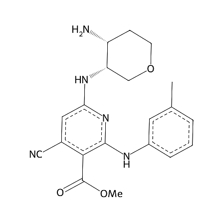 COC(=O)c1c(C#N)cc(N[C@H]2COCC[C@H]2N)nc1Nc1cccc(C)c1